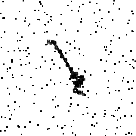 COCCOCCOCCOCCOCCOCCOCCOC(=O)Nc1ccc(C)c(NC(=O)NCc2cccc(C)c2)c1